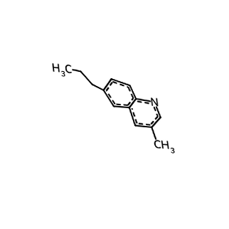 CCCc1ccc2ncc(C)cc2c1